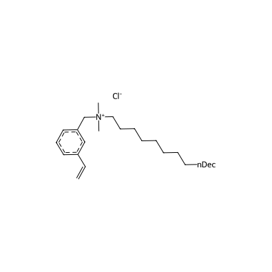 C=Cc1cccc(C[N+](C)(C)CCCCCCCCCCCCCCCCCC)c1.[Cl-]